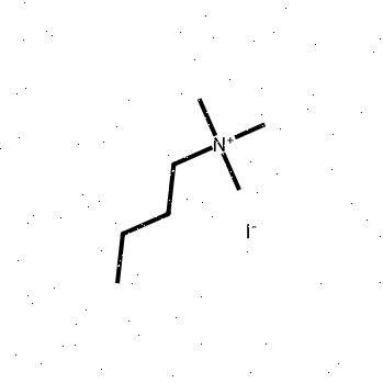 CCCC[N+](C)(C)C.[I-]